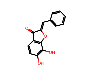 O=C1C(=Cc2ccccc2)Oc2c1ccc(O)c2O